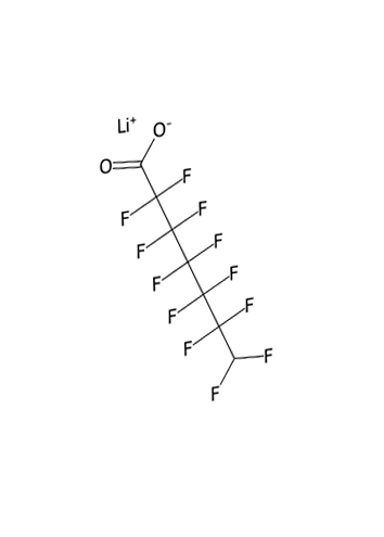 O=C([O-])C(F)(F)C(F)(F)C(F)(F)C(F)(F)C(F)(F)C(F)F.[Li+]